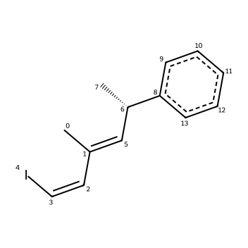 CC(/C=C\I)=C\[C@H](C)c1ccccc1